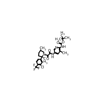 Cc1cc(NC(=O)C(=O)N2C[C@@H](C)CC[C@@]2(C)c2ccc(C(F)(F)F)c(Cl)c2)cnc1NC(=O)OC(C)(C)C